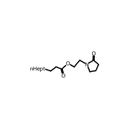 CCCCCCCCCC(=O)OCCN1CCCC1=O